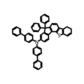 C1=Cc2sc3c4c(ccc3c2CC1)C(c1ccccc1)(c1ccccc1)c1cc(N(c2ccc(-c3ccccc3)cc2)c2ccc(-c3ccccc3)cc2)ccc1-4